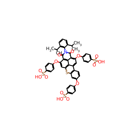 CC(C)c1cccc(C(C)C)c1-n1c(=O)c2c(Oc3ccc(S(=O)(=O)O)cc3)cc3sc4cc(Oc5ccc(S(=O)(=O)O)cc5)ccc4c4cc(Oc5ccc(S(=O)(=O)O)cc5)c(c1=O)c2c34